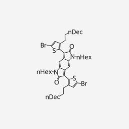 CCCCCCCCCCCCc1cc(Br)sc1C1=c2cc3c(cc2N(CCCCCC)C1=O)=C(c1sc(Br)cc1CCCCCCCCCCCC)C(=O)N3CCCCCC